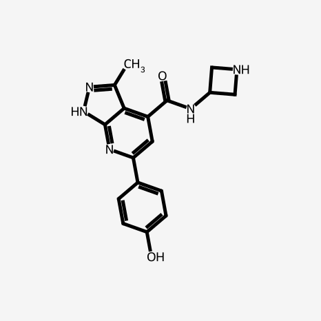 Cc1n[nH]c2nc(-c3ccc(O)cc3)cc(C(=O)NC3CNC3)c12